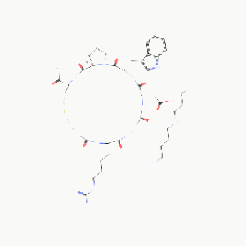 N=C(N)NCCCC[C@@H]1NC(=O)CCSSC[C@@H](C(N)=O)NC(=O)[C@@H]2CCCN2C(=O)[C@H](Cc2c[nH]c3ccccc23)NC(=O)[C@H](CC(=O)O)NC(=O)CNC1=O.NCCCCNCCCN.S